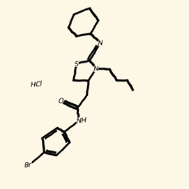 CCCCN1C(=NC2CCCCC2)SCC1CC(=O)Nc1ccc(Br)cc1.Cl